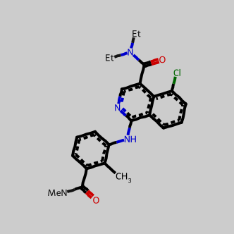 CCN(CC)C(=O)c1cnc(Nc2cccc(C(=O)NC)c2C)c2cccc(Cl)c12